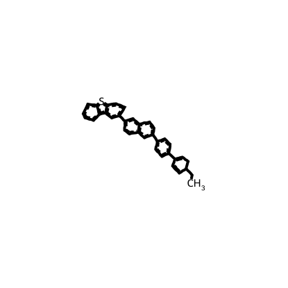 CCC1C=CC(c2ccc(-c3ccc4cc(-c5ccc6sc7ccccc7c6c5)ccc4c3)cc2)=CC1